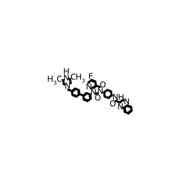 C[C@@H]1CN(Cc2ccc(-c3cccc(-n4c(=O)n([C@H]5CC[C@@H](NC(=O)c6cnc7ccccc7n6)CC5)c(=O)c5cc(F)cnc54)c3)cc2)C[C@H](C)N1